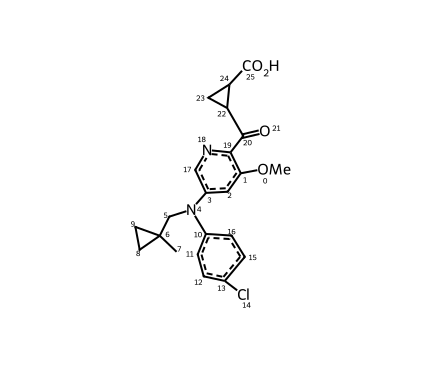 COc1cc(N(CC2(C)CC2)c2ccc(Cl)cc2)cnc1C(=O)C1CC1C(=O)O